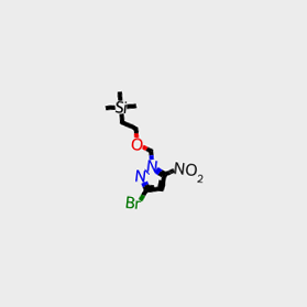 C[Si](C)(C)CCOCn1nc(Br)cc1[N+](=O)[O-]